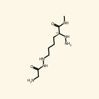 CNC(=O)[C@H](CCCCNNC(=O)CN)NN